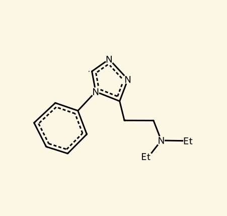 CCN(CC)CCc1nn[c]n1-c1ccccc1